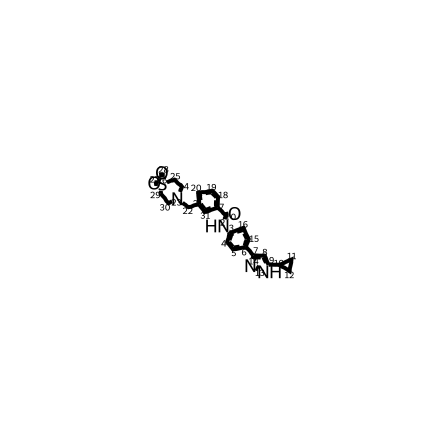 O=C(Nc1ccc(-c2cc(C3CC3)[nH]n2)cc1)c1cccc(CN2CCS(=O)(=O)CC2)c1